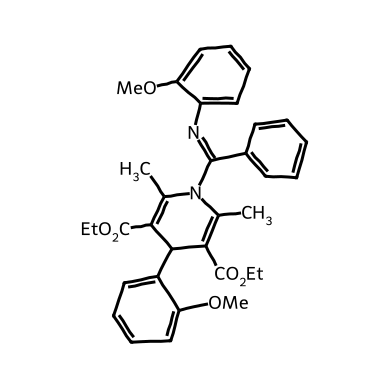 CCOC(=O)C1=C(C)N(C(=Nc2ccccc2OC)c2ccccc2)C(C)=C(C(=O)OCC)C1c1ccccc1OC